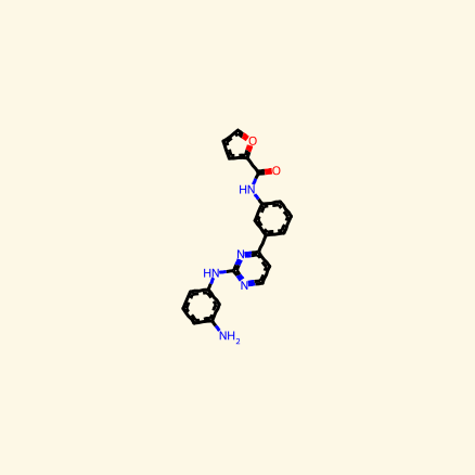 Nc1cccc(Nc2nccc(-c3cccc(NC(=O)c4ccco4)c3)n2)c1